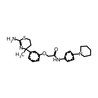 CC1(c2cccc(OCC(=O)Nc3ccc(N4CCCCC4)cc3)c2)CCSC(N)=N1